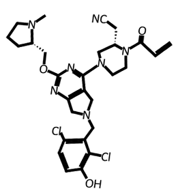 C=CC(=O)N1CCN(c2nc(OC[C@@H]3CCCN3C)nc3c2CN(Cc2c(Cl)ccc(O)c2Cl)C3)C[C@@H]1CC#N